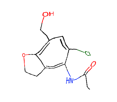 CC(=O)Nc1c(Cl)cc(CO)c2c1CCO2